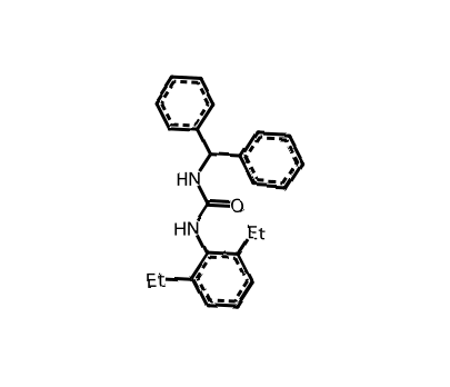 CCc1cccc(CC)c1NC(=O)NC(c1ccccc1)c1ccccc1